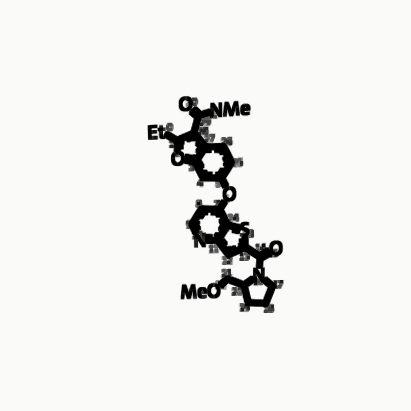 CCc1oc2cc(Oc3ccnc4cc(C(=O)N5CCCC5COC)sc34)ccc2c1C(=O)NC